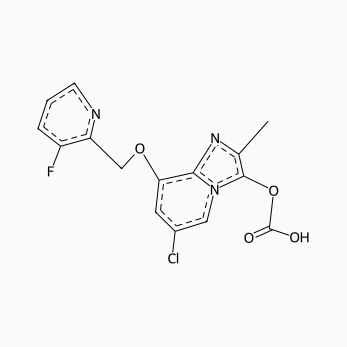 Cc1nc2c(OCc3ncccc3F)cc(Cl)cn2c1OC(=O)O